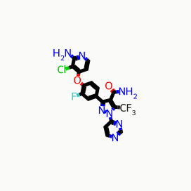 NC(=O)c1c(-c2ccc(Oc3ccnc(N)c3Cl)c(F)c2)nn(-c2ccncn2)c1C(F)(F)F